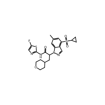 Cc1cc(S(=O)(=O)C2CC2)c2cnn(C(CC3CCOCC3)C(=O)Nc3ncc(F)s3)c2c1